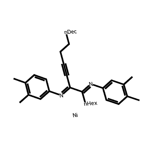 CCCCCCCCCCCCC#CC(=N\c1ccc(C)c(C)c1)/C(CCCCCC)=N/c1ccc(C)c(C)c1.[Ni]